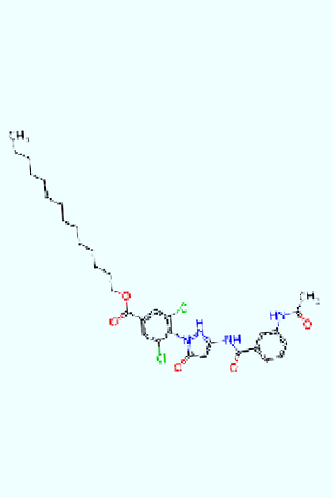 CCCCCCCCCCCCCCOC(=O)c1cc(Cl)c(-n2[nH]c(NC(=O)c3cccc(NC(C)=O)c3)cc2=O)c(Cl)c1